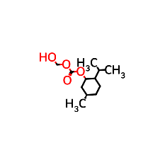 CC(C)C1CC[C@@H](C)C[C@H]1OC(=O)OCO